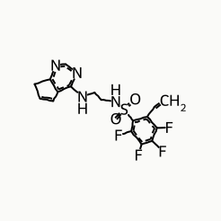 C=Cc1c(F)c(F)c(F)c(F)c1S(=O)(=O)NCCNc1ncnc2c1C=CC2